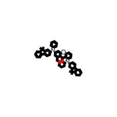 CC1(C)C2=C(C=CCC2)C2=C1CC(N(C1=CC=CCC1)c1cccc3c1-c1cccc4cc(N(c5ccccc5)c5ccc6c(c5)C(C)(C)c5ccccc5-6)cc(c14)O3)C=C2